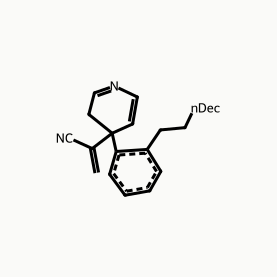 C=C(C#N)C1(c2ccccc2CCCCCCCCCCCC)C=CN=CC1